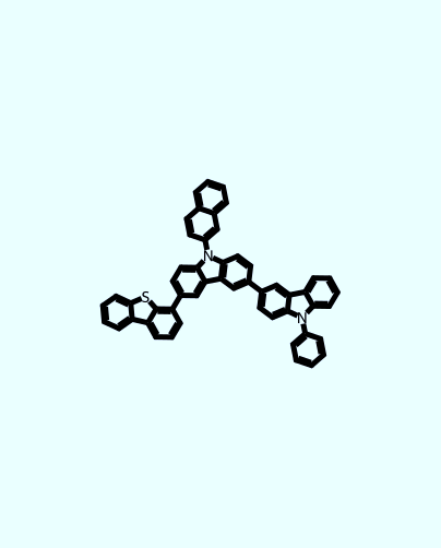 c1ccc(-n2c3ccccc3c3cc(-c4ccc5c(c4)c4cc(-c6cccc7c6sc6ccccc67)ccc4n5-c4ccc5ccccc5c4)ccc32)cc1